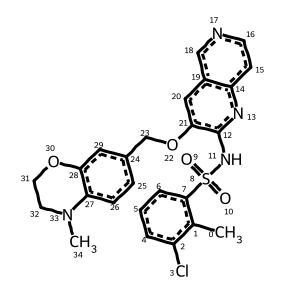 Cc1c(Cl)cccc1S(=O)(=O)Nc1nc2ccncc2cc1OCc1ccc2c(c1)OCCN2C